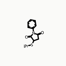 CC(C)SC1CC(=O)N(c2ccccc2)C1=O